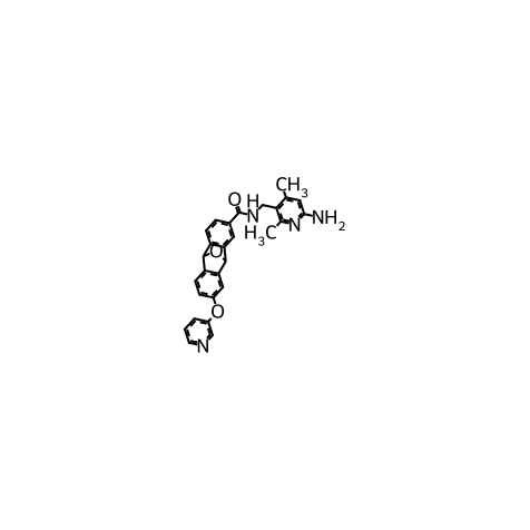 Cc1cc(N)nc(C)c1CNC(=O)c1ccc2c(c1)C1OC2c2ccc(Oc3cccnc3)cc21